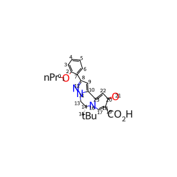 CCCOc1ccccc1-c1cc2n(n1)C[C@@H](C(C)(C)C)n1cc(C(=O)O)c(=O)cc1-2